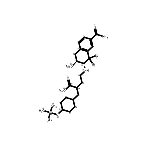 CCC1(CC)c2cc(C(N)=O)ccc2C[C@H](OC)[C@H]1NCCC(CC1CCC(O[Si](C)(C)C(C)(C)C)CC1)C(=O)OC